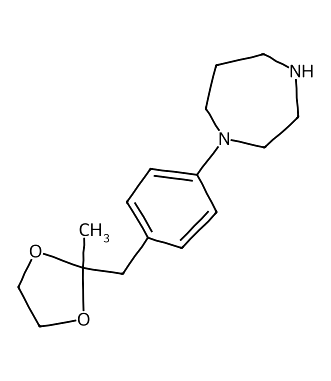 CC1(Cc2ccc(N3CCCNCC3)cc2)OCCO1